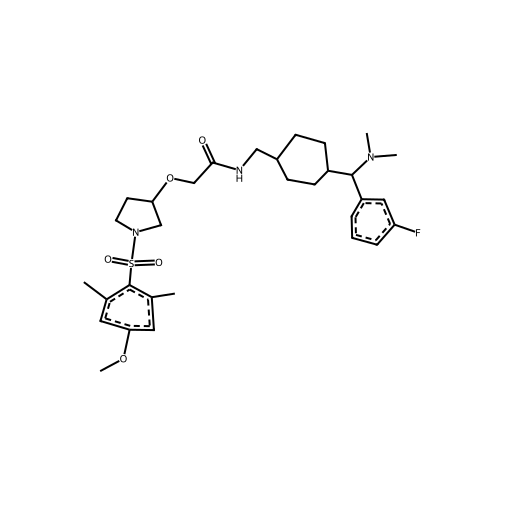 COc1cc(C)c(S(=O)(=O)N2CCC(OCC(=O)NCC3CCC(C(c4cccc(F)c4)N(C)C)CC3)C2)c(C)c1